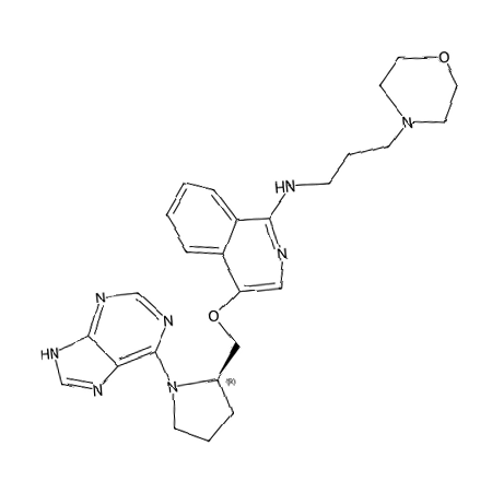 c1ccc2c(NCCCN3CCOCC3)ncc(OC[C@H]3CCCN3c3ncnc4[nH]cnc34)c2c1